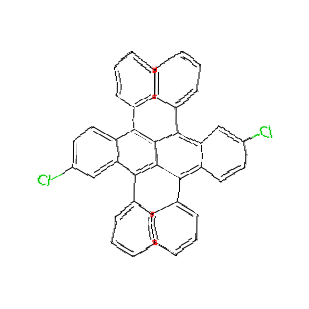 Clc1ccc2c(-c3ccccc3)c3c(-c4ccccc4)c4cc(Cl)ccc4c(-c4ccccc4)c3c(-c3ccccc3)c2c1